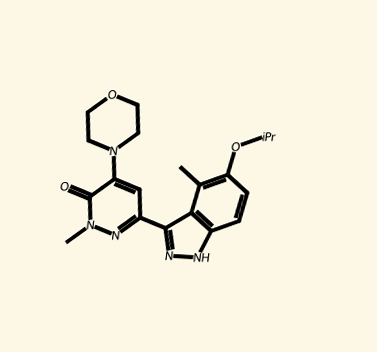 Cc1c(OC(C)C)ccc2[nH]nc(-c3cc(N4CCOCC4)c(=O)n(C)n3)c12